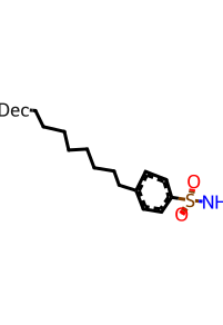 CCCCCCCCCCCCCCCCCCc1ccc(S(N)(=O)=O)cc1